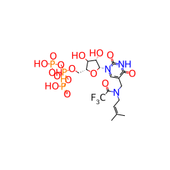 CC(C)=CCN(Cc1cn([C@@H]2O[C@H](COP(=O)(O[PH](=O)O)OP(=O)(O)O)C(O)[C@@H]2O)c(=O)[nH]c1=O)C(=O)C(F)(F)F